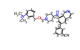 CN(C)c1cccc(COCN2CCC(Nc3cc(-c4cccc(C#N)c4)cc4ccncc34)CC2)c1